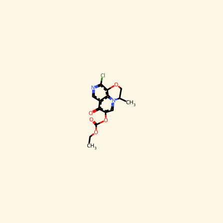 CCOC(=O)Oc1cn2c3c(c(Cl)ncc3c1=O)OCC2C